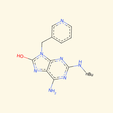 CCCCNc1nc(N)c2nc(O)n(Cc3cccnc3)c2n1